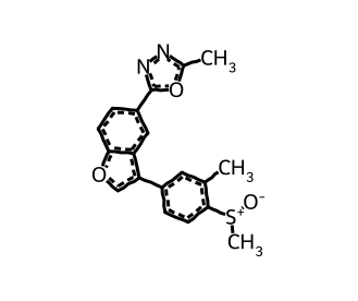 Cc1nnc(-c2ccc3occ(-c4ccc([S+](C)[O-])c(C)c4)c3c2)o1